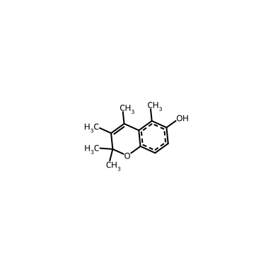 CC1=C(C)C(C)(C)Oc2ccc(O)c(C)c21